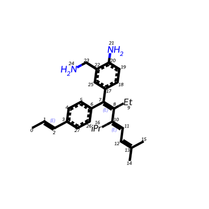 C/C=C/c1ccc(/C(=C(CC)\C(=C\C=C(C)C)C(C)C)c2ccc(N)c(CN)c2)cc1